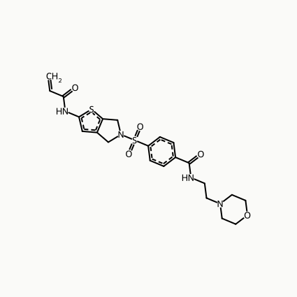 C=CC(=O)Nc1cc2c(s1)CN(S(=O)(=O)c1ccc(C(=O)NCCN3CCOCC3)cc1)C2